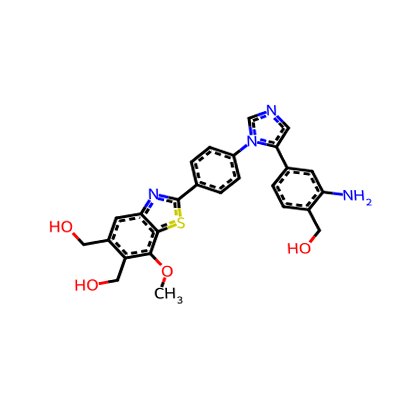 COc1c(CO)c(CO)cc2nc(-c3ccc(-n4cncc4-c4ccc(CO)c(N)c4)cc3)sc12